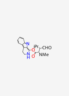 CN[C@H](C(=O)OC1=C2N=c3ccccc3=C2CCN1)C(C=O)C(C)C